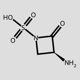 N[C@H]1CN(S(=O)(=O)O)C1=O